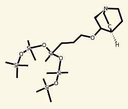 C[Si](C)(C)O[Si](C)(C)O[Si](C)(CCCOC1C[N@]2CC[C@H]1CC2)O[Si](C)(C)O[Si](C)(C)C